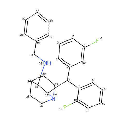 Fc1cccc(C(c2ccccc2F)C2C(NCc3ccccc3)C3CCN2CC3)c1